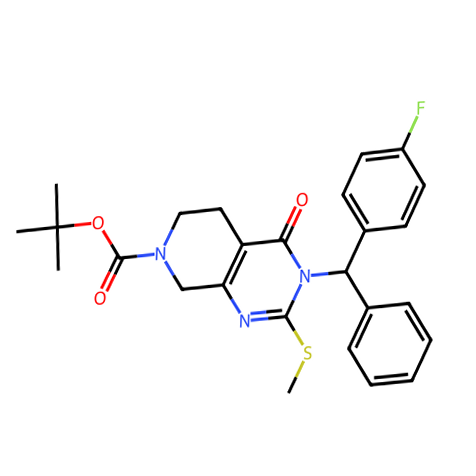 CSc1nc2c(c(=O)n1C(c1ccccc1)c1ccc(F)cc1)CCN(C(=O)OC(C)(C)C)C2